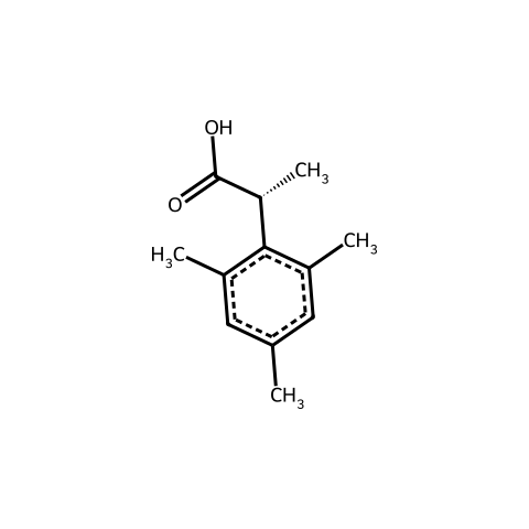 Cc1cc(C)c([C@@H](C)C(=O)O)c(C)c1